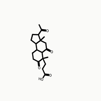 CC(=O)C1CCC2C3CCC(=O)C(C)(CCC(=O)O)C3C(=O)CC12C